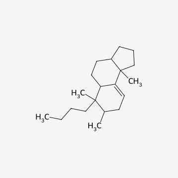 CCCCC1(C)C(C)CC=C2C1CCC1CCCC21C